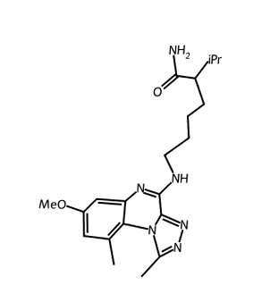 COc1cc(C)c2c(c1)nc(NCCCCC(C(N)=O)C(C)C)c1nnc(C)n12